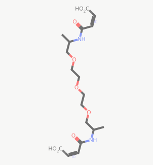 CC(COCCOCCOCC(C)NC(=O)/C=C\C(=O)O)NC(=O)/C=C\C(=O)O